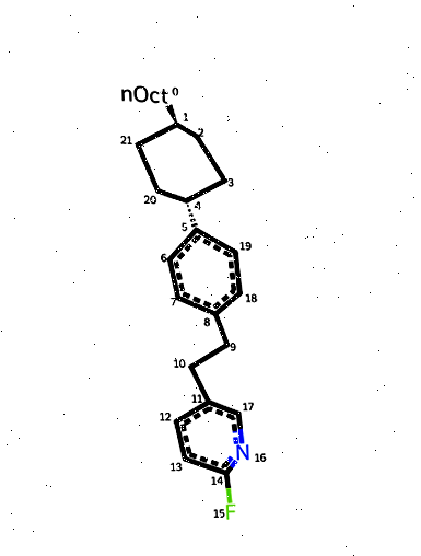 CCCCCCCC[C@H]1CC[C@H](c2ccc(CCc3ccc(F)nc3)cc2)CC1